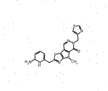 Cn1c2nc(CC3=CC=CC(N)N3)sc2c2cnn(Cc3cscn3)c(=O)c21